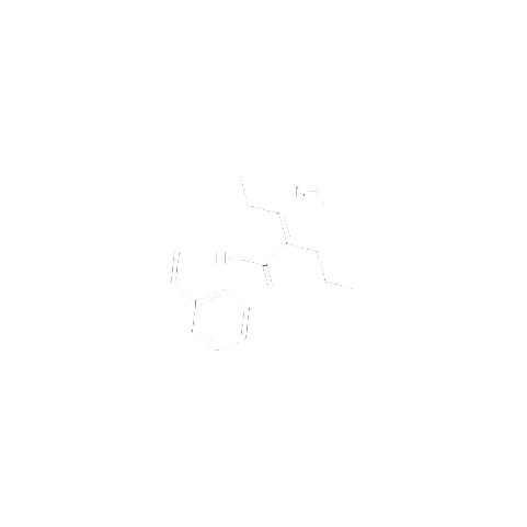 C=Cc1ccccc1.CCCC(C(=O)O)=C(N)CC